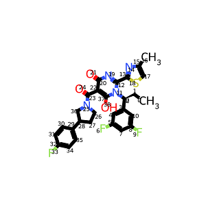 CC[C@@H](c1cc(F)cc(F)c1)n1c(-c2nc(C)cs2)nc(=O)c(C(=O)N2CCC(c3ccc(F)cc3)C2)c1O